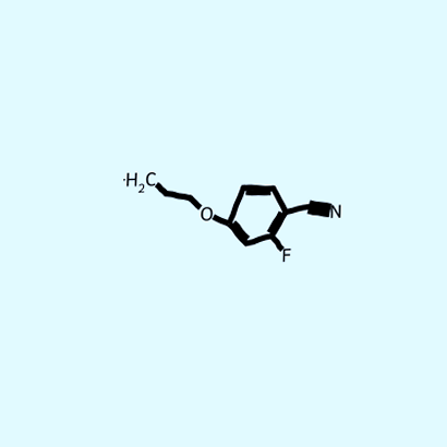 [CH2]CCOc1ccc(C#N)c(F)c1